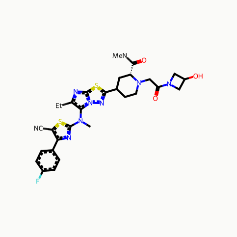 CCc1nc2sc(C3CCN(CC(=O)N4CC(O)C4)[C@@H](C(=O)NC)C3)nn2c1N(C)c1nc(-c2ccc(F)cc2)c(C#N)s1